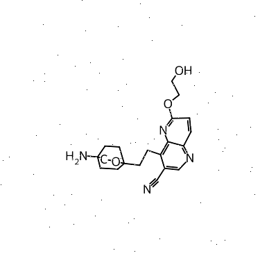 N#Cc1cnc2ccc(OCCO)nc2c1CCC12CCC(N)(CC1)CO2